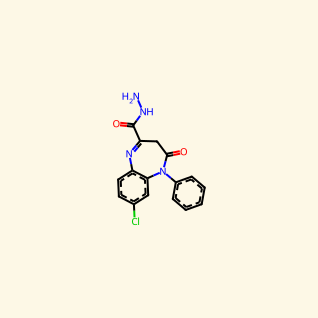 NNC(=O)C1=Nc2ccc(Cl)cc2N(c2ccccc2)C(=O)C1